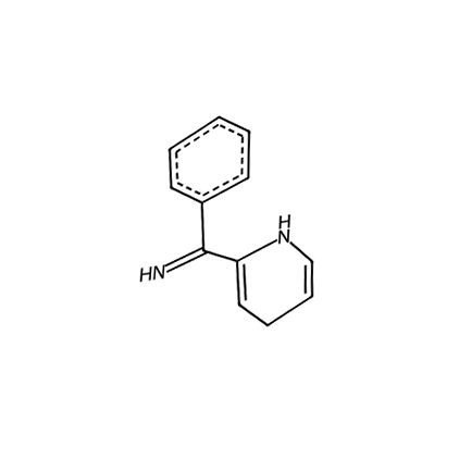 N=C(C1=CCC=CN1)c1ccccc1